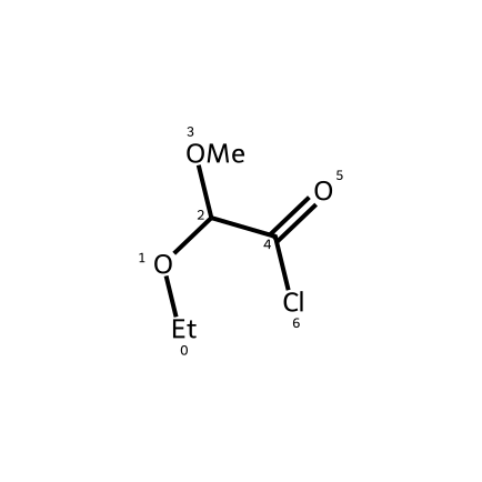 CCOC(OC)C(=O)Cl